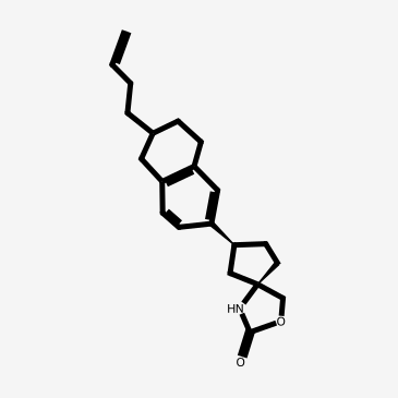 C=CCCC1CCc2cc([C@H]3CC[C@]4(COC(=O)N4)C3)ccc2C1